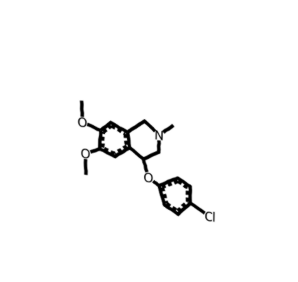 COc1cc2c(cc1OC)C(Oc1ccc(Cl)cc1)CN(C)C2